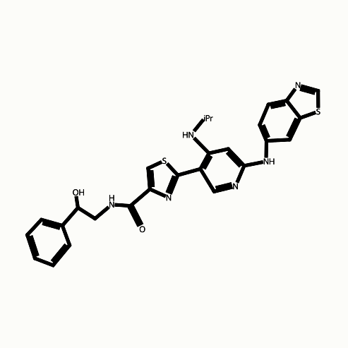 CC(C)Nc1cc(Nc2ccc3ncsc3c2)ncc1-c1nc(C(=O)NCC(O)c2ccccc2)cs1